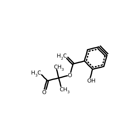 C=C(OC(C)(C)C(C)=O)c1cc#ccc1O